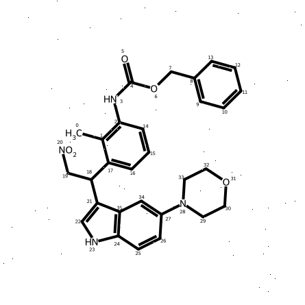 Cc1c(NC(=O)OCc2ccccc2)cccc1C(C[N+](=O)[O-])c1c[nH]c2ccc(N3CCOCC3)cc12